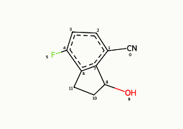 N#Cc1ccc(F)c2c1C(O)CC2